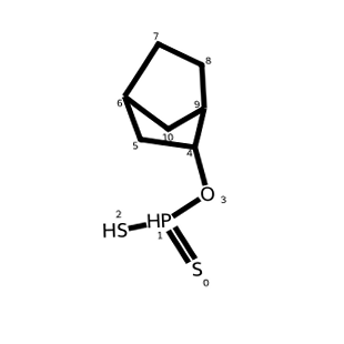 S=[PH](S)OC1CC2CCC1C2